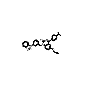 C#CCOc1ccc2c(c1)c(-c1ccc(C(C)C)cc1)nc(=O)n2Cc1cccc(-n2nnc3ccccc32)c1